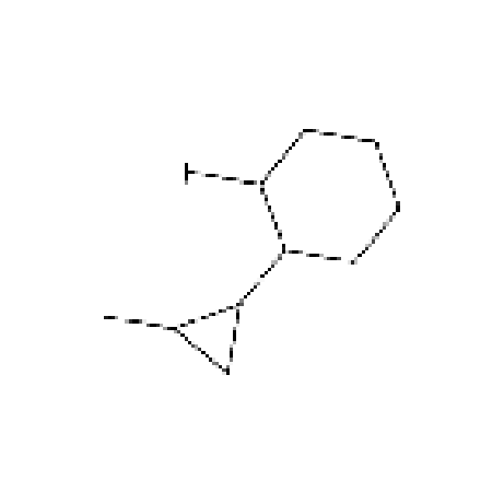 CC1CC1C1CCCCC1F